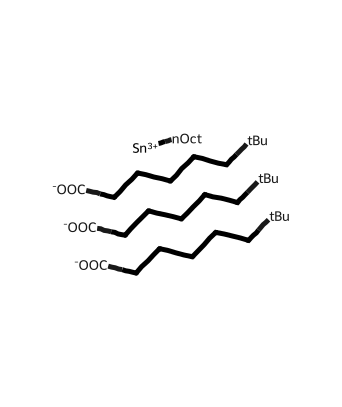 CC(C)(C)CCCCCC(=O)[O-].CC(C)(C)CCCCCC(=O)[O-].CC(C)(C)CCCCCC(=O)[O-].CCCCCCC[CH2][Sn+3]